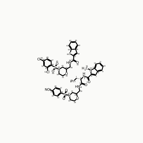 CC(C)C[C@H](NC(=O)c1cc2ccccc2n1C)C(=O)NCC1CN(S(=O)(=O)c2ccc(C#N)cc2)CCO1.O=C(NCC1CN(S(=O)(=O)c2ccc(Cl)cc2Cl)CCO1)c1cc2ccccc2s1